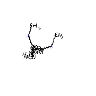 CCCCCCCC/C=C\CCCCCCCC(=O)OCC(COP(=O)(O)OCC(N)C(=O)O)OC(=O)CCCCCCC/C=C\CCCCCCCC